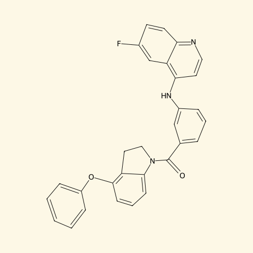 O=C(c1cccc(Nc2ccnc3ccc(F)cc23)c1)N1CCc2c(Oc3ccccc3)cccc21